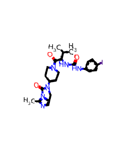 Cc1ncc2n1C(=O)N(C1CCN(C(=O)C(NC(=O)Nc3ccc(I)cc3)C(C)C)CC1)C2